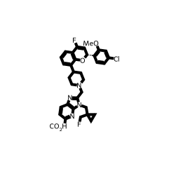 COc1cc(Cl)ccc1[C@H]1C=C(F)c2cccc(C3CCN(Cc4nc5ccc(C(=O)O)nc5n4CC4(CF)CC4)CC3)c2O1